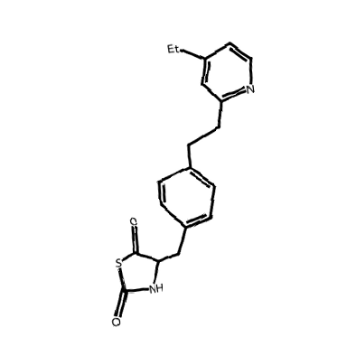 CCc1ccnc(CCc2ccc(CC3NC(=O)SC3=O)cc2)c1